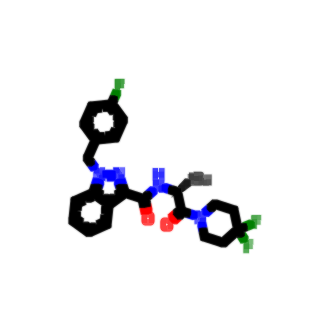 CC(C)(C)[C@H](NC(=O)c1nn(Cc2ccc(F)cc2)c2ccccc12)C(=O)N1CCC(F)(F)CC1